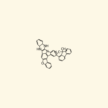 CC1(C)c2ccccc2-c2cccc(-c3ccc4c(c3)c3c5c(cc6c7c(n4c63)NC3C=CC=CC3N7)oc3ccccc35)c21